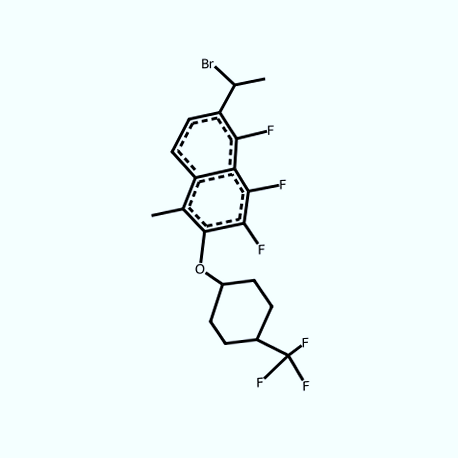 Cc1c(OC2CCC(C(F)(F)F)CC2)c(F)c(F)c2c(F)c(C(C)Br)ccc12